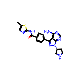 Cc1cnc(NC(=O)c2ccc(-c3nn([C@@H]4CCNC4)c4ncnc(N)c34)cc2)s1